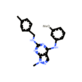 COc1cccc(Nc2nc(NCc3ccc(C)cc3)nc3c2cnn3C)c1